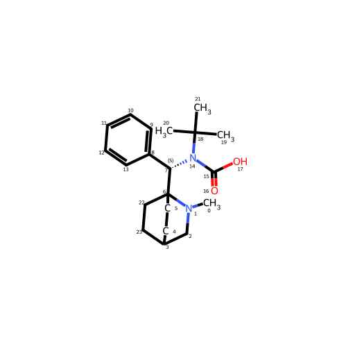 CN1CC2CCC1([C@H](c1ccccc1)N(C(=O)O)C(C)(C)C)CC2